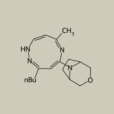 CCCCc1cc(N2C3CCC2COC3)nc(C)cc[nH]n1